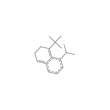 CC(C)c1cccc2c1=C(C(C)(C)C)CCC=2